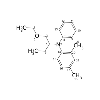 CCOCC(CC)N(c1ccccc1)c1ccc(C)cc1C